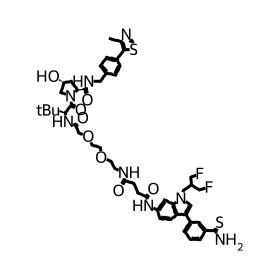 Cc1ncsc1-c1ccc(CNC(=O)[C@@H]2C[C@@H](O)CN2C(=O)[C@@H](NC(=O)COCCOCCNC(=O)CCC(=O)Nc2ccc3c(-c4cccc(C(N)=S)c4)cn(CC(CF)CF)c3c2)C(C)(C)C)cc1